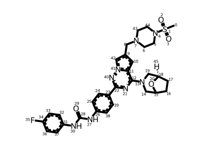 CS(=O)(=O)N1CCN(Cc2cc3c(N4CC5CC[C@H](C4)O5)nc(-c4ccc(NC(=O)Nc5ccc(F)cc5)cc4)nn3c2)CC1